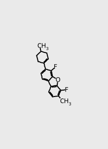 Cc1ccc2c(oc3c(F)c(C4=CCC(C)CC4)ccc32)c1F